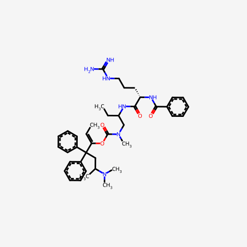 C/C=C(\OC(=O)N(C)CC(CC)NC(=O)[C@H](CCCNC(=N)N)NC(=O)c1ccccc1)C(CC(C)N(C)C)(c1ccccc1)c1ccccc1